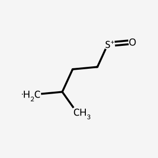 [CH2]C(C)CC[S+]=O